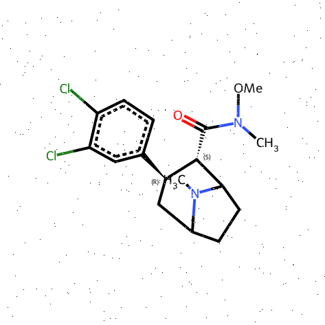 CON(C)C(=O)[C@@H]1C2CCC(C[C@H]1c1ccc(Cl)c(Cl)c1)N2C